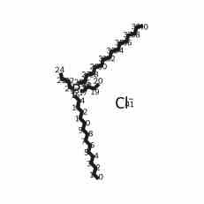 CCCCCCCCCCCCCCCC[P+](CCCC)(CCCC)CCCCCCCCCCCCCCCC.[Cl-]